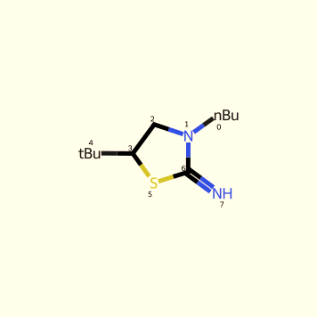 CCCCN1CC(C(C)(C)C)SC1=N